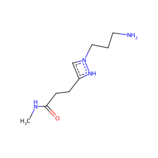 CNC(=O)CCc1cn(CCCN)[nH]1